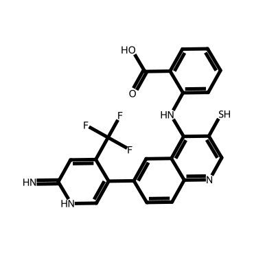 N=c1cc(C(F)(F)F)c(-c2ccc3ncc(S)c(Nc4ccccc4C(=O)O)c3c2)c[nH]1